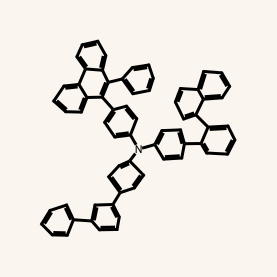 c1ccc(-c2cccc(-c3ccc(N(c4ccc(-c5ccccc5-c5cccc6ccccc56)cc4)c4ccc(-c5c(-c6ccccc6)c6ccccc6c6ccccc56)cc4)cc3)c2)cc1